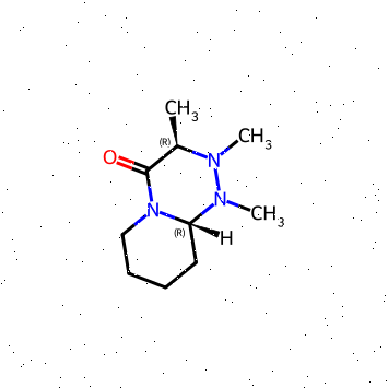 C[C@@H]1C(=O)N2CCCC[C@H]2N(C)N1C